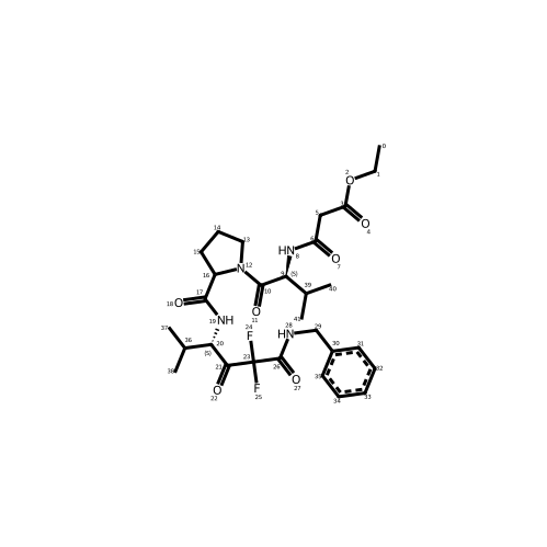 CCOC(=O)CC(=O)N[C@H](C(=O)N1CCCC1C(=O)N[C@H](C(=O)C(F)(F)C(=O)NCc1ccccc1)C(C)C)C(C)C